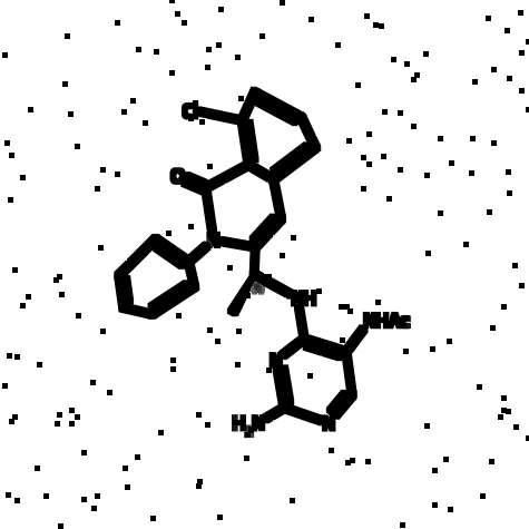 CC(=O)Nc1cnc(N)nc1N[C@@H](C)c1cc2cccc(Cl)c2c(=O)n1-c1ccccc1